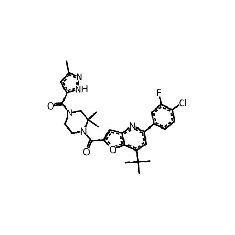 Cc1cc(C(=O)N2CCN(C(=O)c3cc4nc(-c5ccc(Cl)c(F)c5)cc(C(C)(C)C)c4o3)C(C)(C)C2)[nH]n1